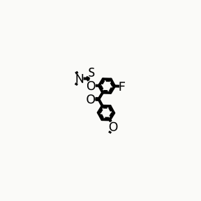 COc1ccc(C(=O)c2cc(F)ccc2OC(=S)N(C)C)cc1